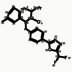 CCCC(CCC)[S+]([O-])N(Cc1ccc(-c2nnc(C(F)F)o2)cc1)c1cccc(C)c1